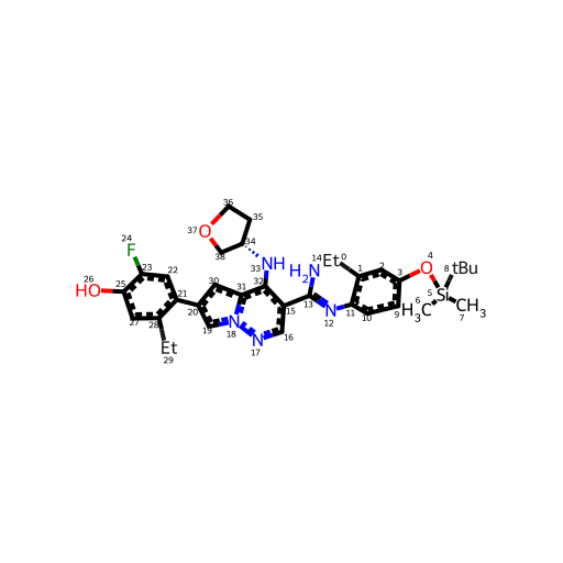 CCc1cc(O[Si](C)(C)C(C)(C)C)ccc1/N=C(\N)c1cnn2cc(-c3cc(F)c(O)cc3CC)cc2c1N[C@H]1CCOC1